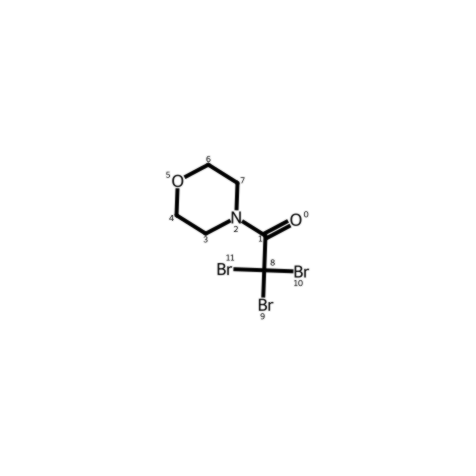 O=C(N1CCOCC1)C(Br)(Br)Br